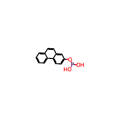 OP(O)Oc1ccc2c(ccc3ccccc32)c1